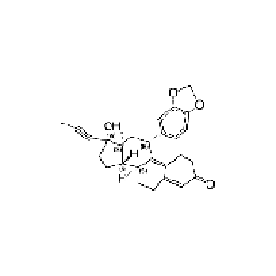 CC#C[C@]1(O)CC[C@H]2[C@@H]3CCC4=CC(=O)CCC4=C3[C@@H](c3ccc4c(c3)OCO4)C[C@@]21C